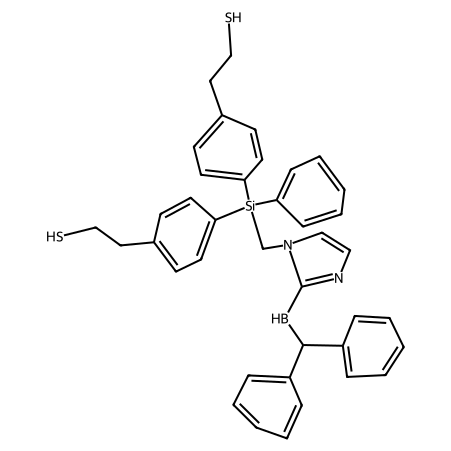 SCCc1ccc([Si](Cn2ccnc2BC(c2ccccc2)c2ccccc2)(c2ccccc2)c2ccc(CCS)cc2)cc1